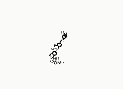 COC(=O)Nc1nccc2cc(NCc3ccc(CO[C@@H]4C[C@@H]5CC4CN5C)cc3F)ccc12